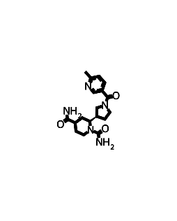 Cc1ccc(C(=O)N2CC[C@@H](C3CC(C(N)=O)CCN3C(N)=O)C2)cn1